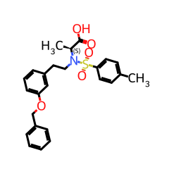 Cc1ccc(S(=O)(=O)N(CCc2cccc(OCc3ccccc3)c2)[C@@H](C)C(=O)O)cc1